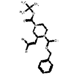 CC(C)(C)OC(=O)N1CCN(C(O)OCc2ccccc2)C(C=C(Br)Br)C1